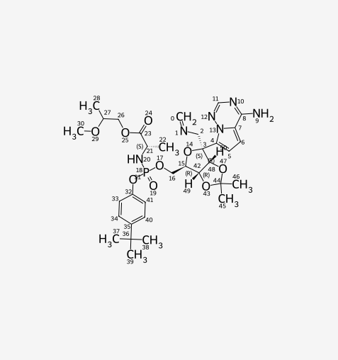 C=NC[C@@]1(c2ccc3c(N)ncnn23)O[C@H](COP(=O)(N[C@@H](C)C(=O)OCC(C)OC)Oc2ccc(C(C)(C)C)cc2)[C@H]2OC(C)(C)O[C@H]21